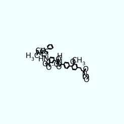 COc1cc(CCC(=O)N2CCOCC2)ccc1-c1ccc(C(=O)NS(=O)(=O)c2ccc(N[C@@H](CSc3ccccc3)CC(=O)N(C)C)c([N+](=O)[O-])c2)cc1